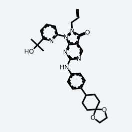 C=CCn1c(=O)c2cnc(Nc3ccc(C4CCC5(CC4)OCCO5)cc3)nc2n1-c1cccc(C(C)(C)O)n1